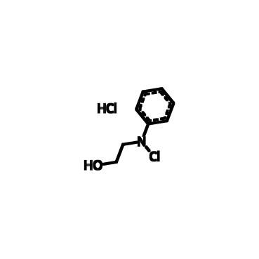 Cl.OCCN(Cl)c1ccccc1